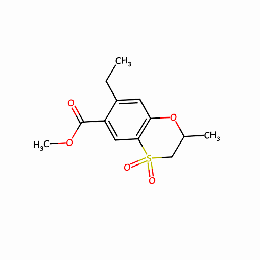 CCc1cc2c(cc1C(=O)OC)S(=O)(=O)CC(C)O2